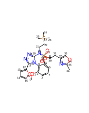 COc1cccc(OC)c1-n1c(-c2ccco2)nnc1N(CCS(C)(C)C)S(=O)(=O)CCc1coc(C)n1